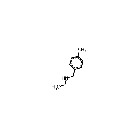 CCN[CH]c1ccc(C)cc1